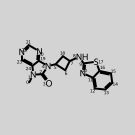 Cn1c(=O)n(C2CC(Nc3nc4ccccc4s3)C2)c2ncncc21